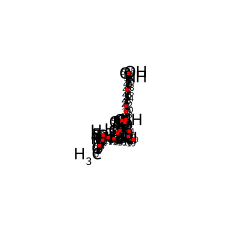 CCOc1ccc(C(=O)N2CCN(c3ccc(-c4cccnc4OCC)nc3Cc3ccc(S(=O)(=O)NCCCCCCCCCCCCCCCNC(=O)O)c([N+](=O)[O-])c3)[C@H](CC)C2)c(C(F)(F)F)n1